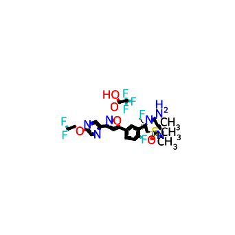 CN=[S@@]1(=O)C[C@@](CF)(c2cc(-c3cc(-c4cnc(OCC(F)F)cn4)no3)ccc2F)N=C(N)C1(C)C.O=C(O)C(F)(F)F